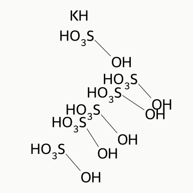 O=S(=O)(O)O.O=S(=O)(O)O.O=S(=O)(O)O.O=S(=O)(O)O.O=S(=O)(O)O.O=S(=O)(O)O.[KH]